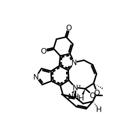 CN[N@@+]12C3=C4C=C[C@@H](C3)O[C@](C)(/C=C\Cn3c5c(c6c7c(c4c1c63)C=NC=7)C(=O)CC(=O)C=5)[C@@H]2OC